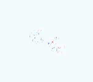 COc1ccc2ccc(=O)n(CCN3CCC(N(Cc4ccc(O)c(O)c4)C(=O)OC(C)(C)C)CC3)c2c1